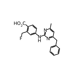 Cc1cc(Cc2ccccc2)nc(Nc2ccc(C(=O)O)c(CF)c2)n1